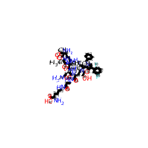 CC(=O)[C@](N)(CCCCN)C(=O)N[C@@H](C)C(=O)N[C@@H](C)C(=O)N[C@@H](CC(N)=O)C(=O)N[C@@H](CCN(C(=O)CO)[C@@H](c1cc(-c2cc(F)ccc2F)cn1Cc1ccccc1)C(C)(C)C)C(=O)NCCC(=O)NCCCC[C@H](N)C(=O)O